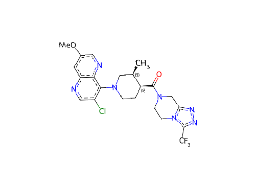 COc1cnc2c(N3CC[C@H](C(=O)N4CCn5c(nnc5C(F)(F)F)C4)[C@H](C)C3)c(Cl)cnc2c1